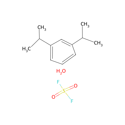 CC(C)c1cccc(C(C)C)c1.O.O=S(=O)(F)F